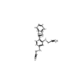 C#CCOc1cc(OCC#N)ccc1-c1nc2nccnc2[nH]1